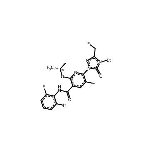 CCn1c(CF)nn(-c2nc(O[C@@H](C)C(F)(F)F)c(C(=O)Nc3c(F)cccc3Cl)cc2F)c1=O